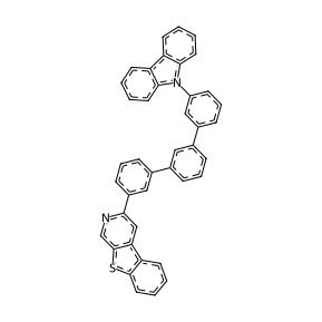 c1cc(-c2cccc(-c3cc4c(cn3)sc3ccccc34)c2)cc(-c2cccc(-n3c4ccccc4c4ccccc43)c2)c1